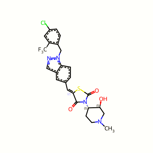 CN1CC[C@H](N2C(=O)S/C(=C\c3ccc4c(cnn4Cc4ccc(Cl)cc4C(F)(F)F)c3)C2=O)[C@@H](O)C1